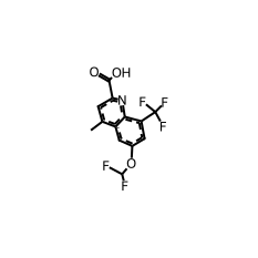 Cc1cc(C(=O)O)nc2c(C(F)(F)F)cc(OC(F)F)cc12